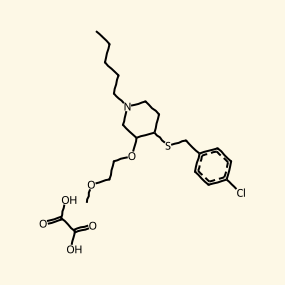 CCCCCN1CCC(SCc2ccc(Cl)cc2)C(OCCOC)C1.O=C(O)C(=O)O